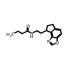 CCCC(=O)NCCC1CCc2ccc3ocnc3c21